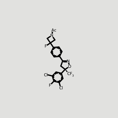 [CH2]C(=O)N1CC(F)(c2ccc(C3=NO[C@@](c4cc(Cl)c(F)c(Cl)c4)(C(F)(F)F)C3)cc2)C1